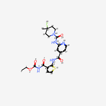 CCOC(=O)NC(=O)c1ccsc1NC(=O)c1ccnc(NC(=O)N2CCC(C)(F)CC2)c1